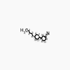 CCCCC[C@H]1CC[C@@H]([C@@H]2CCC[C@@H](C#N)C2)CC1